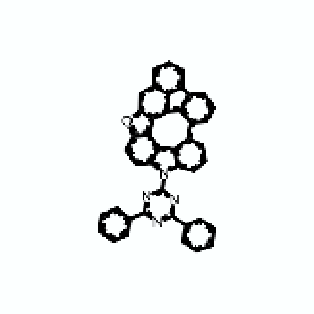 c1ccc(-c2nc(-c3ccccc3)nc(-n3c4cccc5c6cccc7c6c6c8c-7cccc8cc7oc8ccc3c(c8c76)c54)n2)cc1